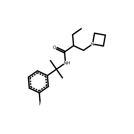 CCC(CN1CCC1)C(=O)NC(C)(C)c1cccc(F)c1